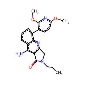 CCCN1Cc2nc3c(-c4ccc(OC)nc4OC)cccc3c(N)c2C1=O